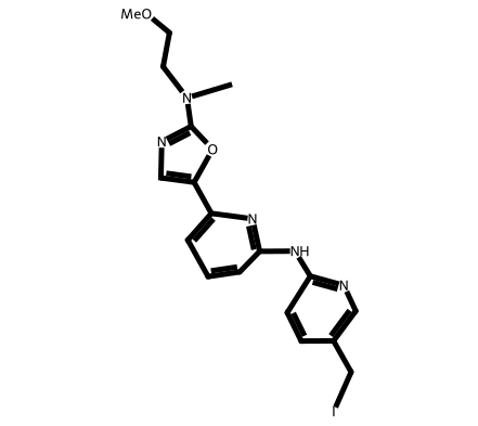 COCCN(C)c1ncc(-c2cccc(Nc3ccc(CI)cn3)n2)o1